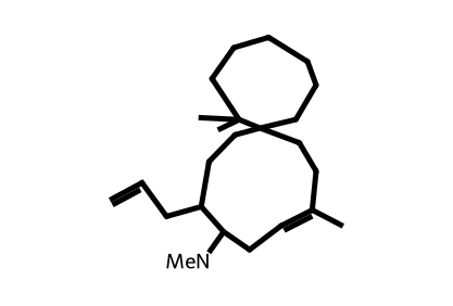 C=CCC1CCC2(CCCCCCC2(C)C)CC/C(C)=C/CC1NC